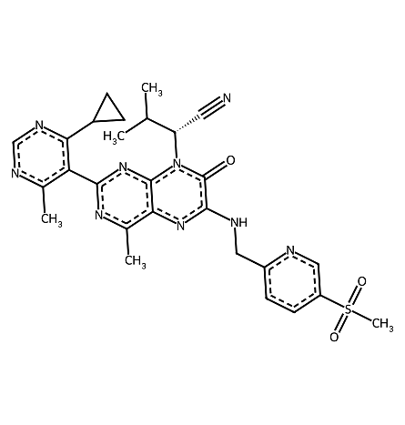 Cc1ncnc(C2CC2)c1-c1nc(C)c2nc(NCc3ccc(S(C)(=O)=O)cn3)c(=O)n([C@@H](C#N)C(C)C)c2n1